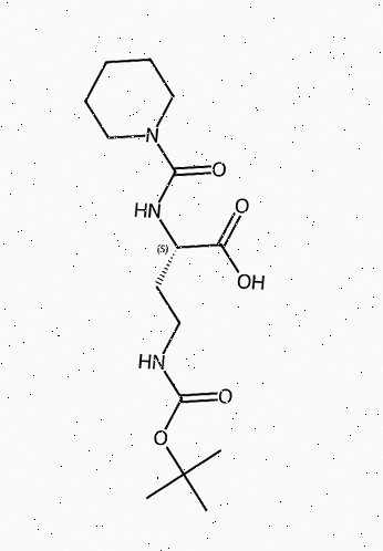 CC(C)(C)OC(=O)NCC[C@H](NC(=O)N1CCCCC1)C(=O)O